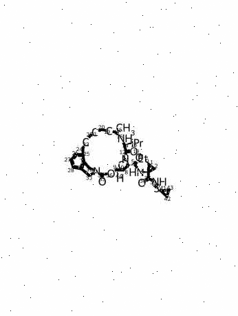 CC[C@@H]1C[C@]1(NC(=O)[C@@H]1C[C@@H]2CN1C(=O)[C@H](C(C)C)NC(C)CCCCCCc1cccc3c1CN(C3)C(=O)O2)C(=O)NSC1CC1